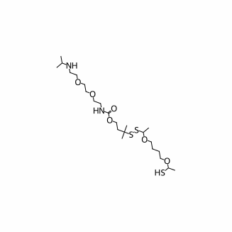 CC(C)NCCOCCOCCNC(=O)OCCC(C)(C)SSC(C)OCCCCOC(C)S